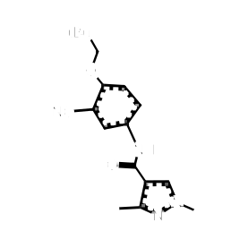 Cc1nn(C)cc1C(=O)Nc1ccc(OCC(C)(C)C)c(C#N)c1